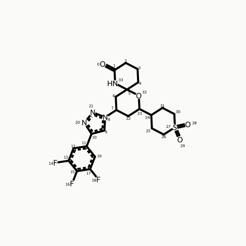 O=C1CCCC2(CC(n3cc(-c4cc(F)c(F)c(F)c4)nn3)CC(C3CCS(=O)(=O)CC3)O2)N1